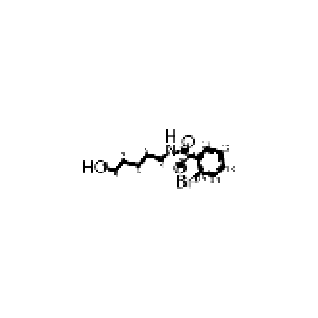 O=S(=O)(NCCCCCO)c1ccccc1Br